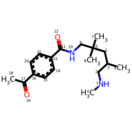 CNCC(C)CC(C)(C)CNC(=O)c1ccc(C(C)=O)cc1